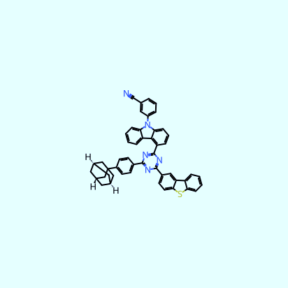 N#Cc1cccc(-n2c3ccccc3c3c(-c4nc(-c5ccc(C67C[C@H]8C[C@@H](C6)C[C@@H](C7)C8)cc5)nc(-c5ccc6sc7ccccc7c6c5)n4)cccc32)c1